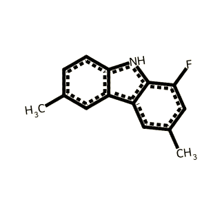 Cc1ccc2[nH]c3c(F)cc(C)cc3c2c1